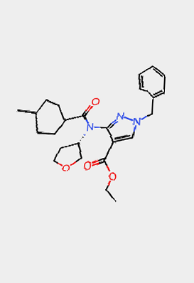 CCOC(=O)c1cn(Cc2ccccc2)nc1N(C(=O)C1CCC(C)CC1)[C@H]1CCOC1